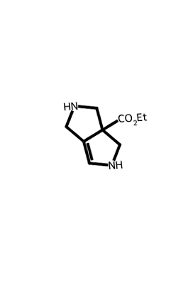 CCOC(=O)C12CNC=C1CNC2